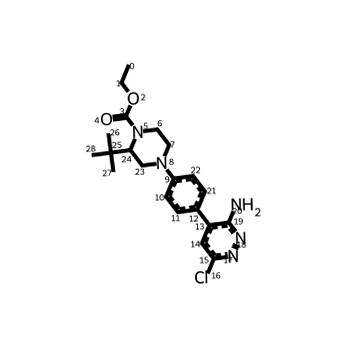 CCOC(=O)N1CCN(c2ccc(-c3cc(Cl)nnc3N)cc2)CC1C(C)(C)C